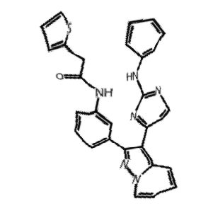 O=C(Cc1cccs1)Nc1cccc(-c2nn3ccccc3c2-c2ccnc(Nc3ccccc3)n2)c1